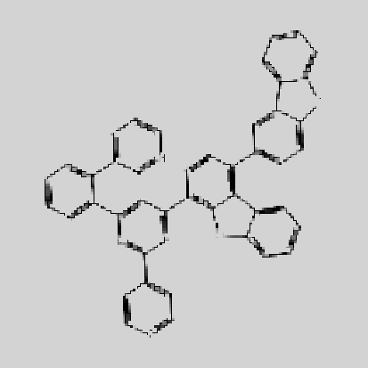 c1ccc(-c2nc(-c3ccccc3-c3cccnc3)cc(-c3ccc(-c4ccc5sc6ccccc6c5c4)c4c3oc3ccccc34)n2)cc1